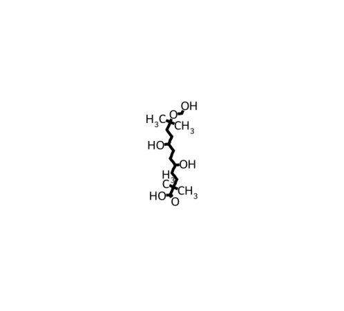 CC(C)(CCC(O)CCC(O)CCC(C)(C)C(=O)O)OCO